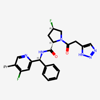 CC(C)c1cnc([C@@H](NC(=O)[C@@H]2C[C@@H](F)CN2C(=O)Cc2cnn[nH]2)c2ccccc2)cc1F